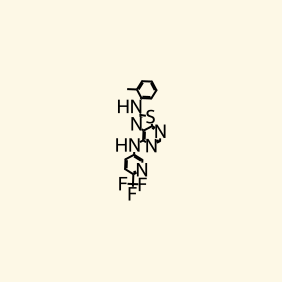 Cc1ccccc1Nc1nc2c(Nc3ccc(C(F)(F)F)nc3)ncnc2s1